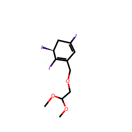 COC(COCC1=C(I)[C@@H](I)CC(I)=C1)OC